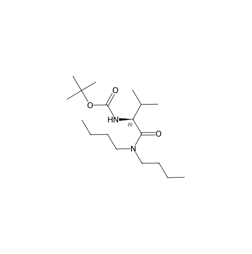 CCCCN(CCCC)C(=O)[C@@H](NC(=O)OC(C)(C)C)C(C)C